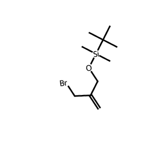 C=C(CBr)CO[Si](C)(C)C(C)(C)C